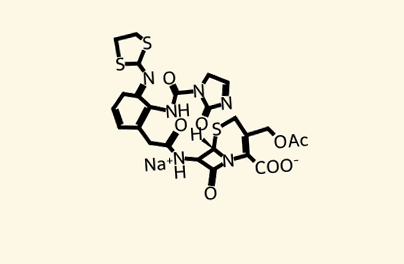 CC(=O)OCC1=C(C(=O)[O-])N2C(=O)C(NC(=O)CC3=C(NC(=O)N4CC=NC4=O)C(=NC4SCCS4)CC=C3)[C@@H]2SC1.[Na+]